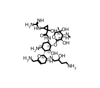 CN[C@@H]1[C@@H](O)[C@@H](O[C@H]2[C@H](NC(=O)C3(O)CC3NC(=N)N)C[C@H](N)C([C@H]3OC(CN)=CC[C@H]3NCC(O)CCN)[C@@H]2O)OC[C@]1(C)O